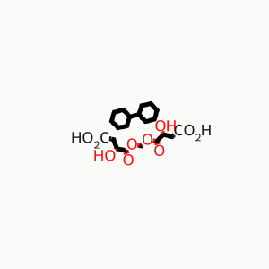 C1CCC(C2CCCCC2)CC1.O=C(O)CC(O)C(=O)OCOC(=O)C(O)CC(=O)O